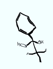 CC(F)(F)C(O)(O)c1ccccc1